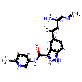 C=N/C=C(N)\C=C(/C)c1ccc2[nH]nc(C(=O)Nc3ccc(C(F)(F)F)nc3)c2c1